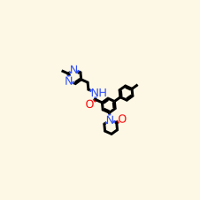 Cc1ccc(-c2cc(C(=O)NCCc3cnc(C)nc3)cc(N3CCCCC3=O)c2)cc1